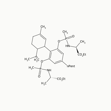 C=C(C)C1CCC(C)=CC1c1c(OP(C)(=O)N[C@@H](C)C(=O)OCC)cc(CCCCC)cc1OP(C)(=O)N[C@@H](C)C(=O)OCC